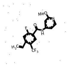 C=Cc1cc(F)c(C(=O)Nc2ccnc(OC)c2)cc1C(F)(F)F